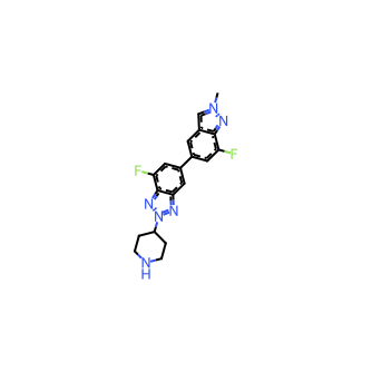 Cn1cc2cc(-c3cc(F)c4nn(C5CCNCC5)nc4c3)cc(F)c2n1